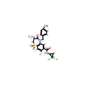 N#Cc1ccc(CN2C(=O)[C@@H](N)CS(=O)(=O)c3cc(F)c(C(=O)NC4CC4(F)F)cc32)cc1